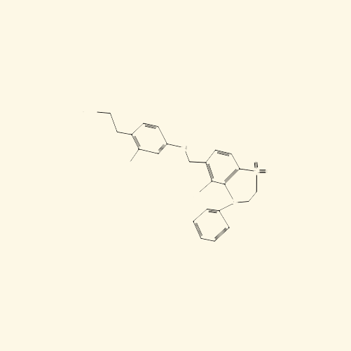 Cc1c(CNc2ccc(CCC(=O)O)c(F)c2)ccc2c1N(c1ccccc1)CCS2(=O)=O